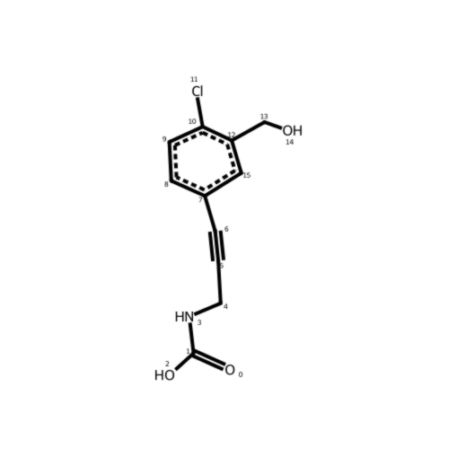 O=C(O)NCC#Cc1ccc(Cl)c(CO)c1